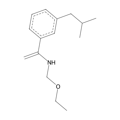 C=C(NCOCC)c1cccc(CC(C)C)c1